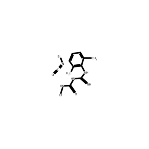 CCN=C=O.CCNC(=O)NC(=N)Nc1c(C)cccc1C